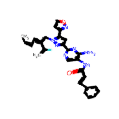 C=C(F)/C(=C\C=C/C)Cn1nc(-c2ncc(NC(=O)/C=C/c3ccccc3)c(N)n2)cc1-c1ccon1